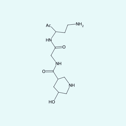 CC(=O)C(CCN)NC(=O)CNC(=O)C1CNCC(O)C1